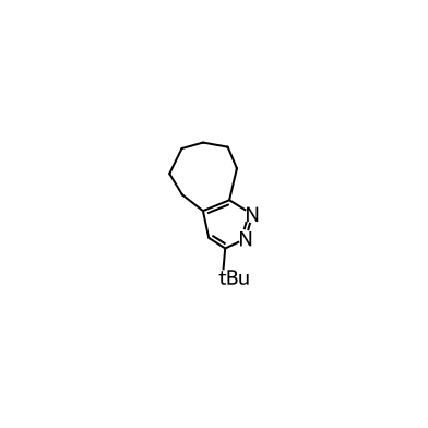 CC(C)(C)c1cc2c(nn1)CCCCCC2